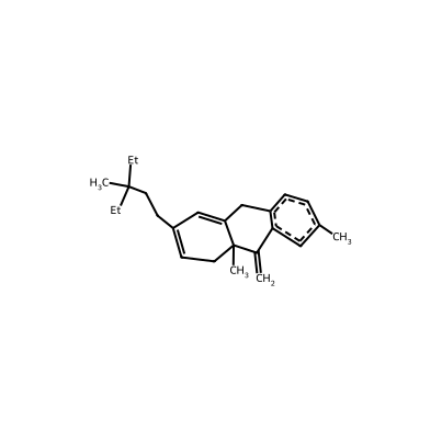 C=C1c2cc(C)ccc2CC2=CC(CCC(C)(CC)CC)=CCC12C